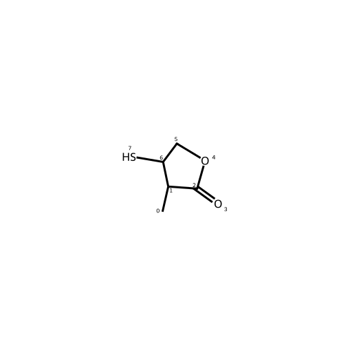 CC1C(=O)OCC1S